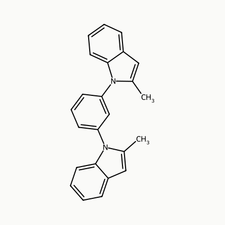 Cc1cc2ccccc2n1-c1cccc(-n2c(C)cc3ccccc32)c1